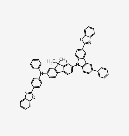 CC1(C)c2cc(N(c3ccccc3)c3ccc(-c4nc5ccccc5o4)cc3)ccc2-c2ccc(-n3c4ccc(-c5ccccc5)cc4c4cc(-c5nc6ccccc6o5)ccc43)cc21